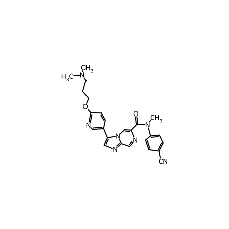 CN(C)CCCOc1ccc(-c2cnc3cnc(C(=O)N(C)c4ccc(C#N)cc4)cn23)cn1